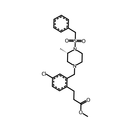 COC(=O)CCc1ccc(Cl)cc1CN1CCN(S(=O)(=O)Cc2ccccc2)[C@@H](C)C1